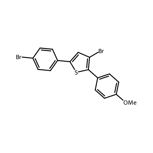 COc1ccc(-c2sc(-c3ccc(Br)cc3)cc2Br)cc1